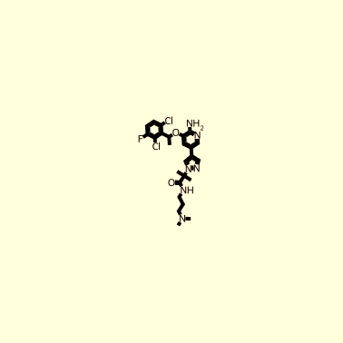 CC(Oc1cc(-c2cnn(C(C)(C)C(=O)NCCCN(C)C)c2)cnc1N)c1c(Cl)ccc(F)c1Cl